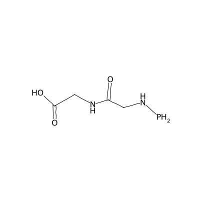 O=C(O)CNC(=O)CNP